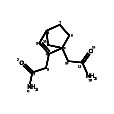 NC(=O)CC1=CC2CCC1(CC(N)=O)C2